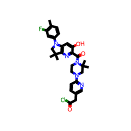 Cc1ccc(N2CC(C)(C)c3nc(C(=O)N4CCN(c5ccc(CC(=O)Cl)cn5)CC4(C)C)c(O)cc32)cc1F